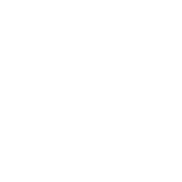 CCCCCCCCC[CH]I